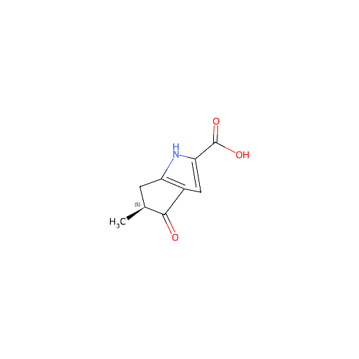 C[C@H]1Cc2[nH]c(C(=O)O)cc2C1=O